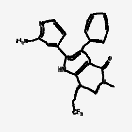 CN1CC(CC(F)(F)F)c2[nH]c(-c3ccnc(N)c3)c(-c3ccccc3)c2C1=O